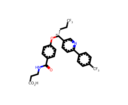 O=C(O)CCNC(=O)c1ccc(O[C@H](CCC(F)(F)F)c2ccc(-c3ccc(C(F)(F)F)cc3)nc2)cc1